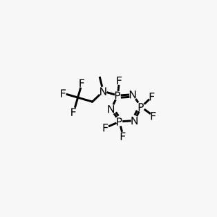 CN(CC(F)(F)F)P1(F)=NP(F)(F)=NP(F)(F)=N1